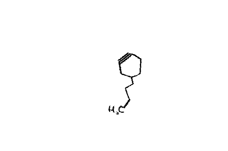 CCCCC1CC#CCC1